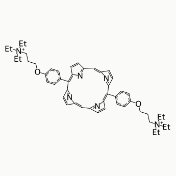 CC[N+](CC)(CC)CCCOc1ccc(C2=C3C=CC(=N3)C=C3C=CC(=N3)C(c3ccc(OCCC[N+](CC)(CC)CC)cc3)=C3C=CC(=N3)C=C3C=CC2=N3)cc1